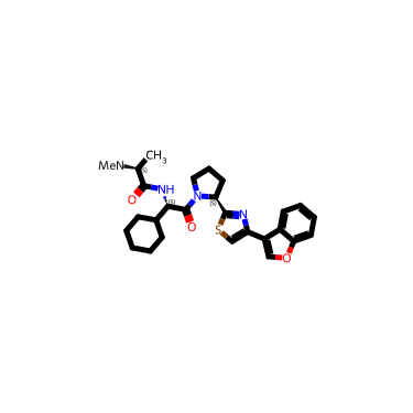 CN[C@@H](C)C(=O)N[C@H](C(=O)N1CCC[C@H]1c1nc(-c2coc3ccccc23)cs1)C1CCCCC1